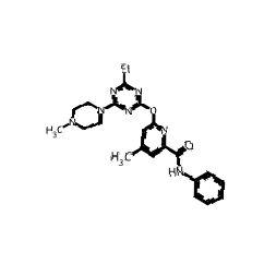 CCc1nc(Oc2cc(C)cc(C(=O)Nc3ccccc3)n2)nc(N2CCN(C)CC2)n1